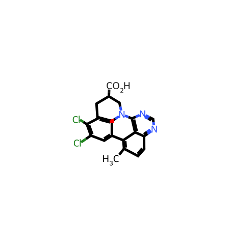 Cc1ccc2ncnc(N3CCCC(C(=O)O)C3)c2c1-c1ccc(Cl)c(Cl)c1